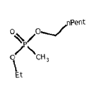 CCCCCCOP(C)(=O)OCC